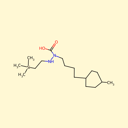 CC1CCC(CCCCN(NCC[Si](C)(C)C)C(=O)O)CC1